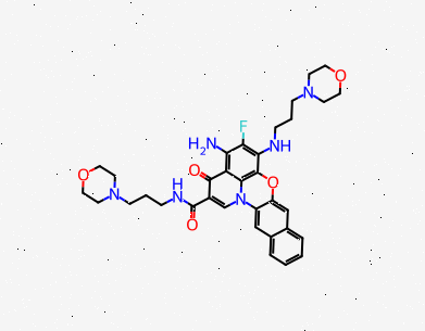 Nc1c(F)c(NCCCN2CCOCC2)c2c3c1c(=O)c(C(=O)NCCCN1CCOCC1)cn3-c1cc3ccccc3cc1O2